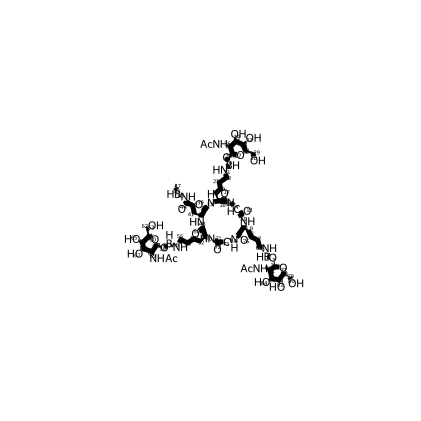 CC(=O)N[C@H]1[C@H](OBNCCCC[C@@H]2NC(=O)CNC(=O)[C@H](CCCCNBO[C@@H]3O[C@H](CO)[C@H](O)[C@H](O)[C@H]3NC(C)=O)NC(=O)[C@H](CCC(=O)NBI)NC(=O)[C@H](CCCCNBO[C@@H]3O[C@H](CO)[C@H](O)[C@H](O)[C@H]3NC(C)=O)NC(=O)CNC2=O)O[C@H](CO)[C@H](O)[C@@H]1O